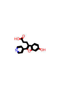 O=C(O)CCc1c(-c2ccncc2)oc2cc(O)ccc12